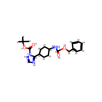 CC(C)(C)OC(=O)n1ncnc1C1CCC(NC(=O)OCc2ccccc2)CC1